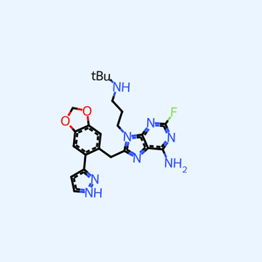 CC(C)(C)NCCCn1c(Cc2cc3c(cc2-c2cc[nH]n2)OCO3)nc2c(N)nc(F)nc21